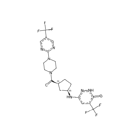 O=C([C@H]1CC[C@@H](Nc2cc(C(F)(F)F)c(=O)[nH]n2)C1)N1CCN(c2ncc(C(F)(F)F)cn2)CC1